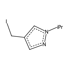 CC(C)n1cc(CI)cn1